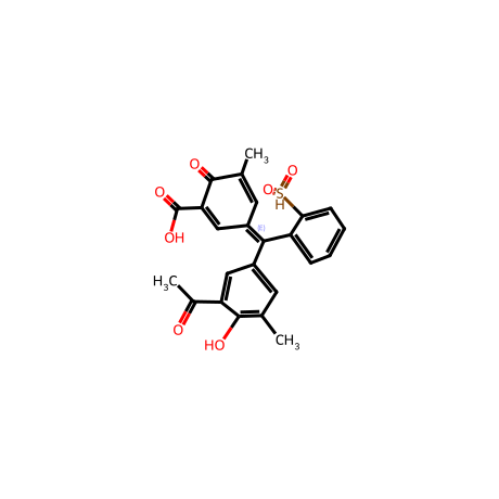 CC(=O)c1cc(/C(=C2/C=C(C)C(=O)C(C(=O)O)=C2)c2ccccc2[SH](=O)=O)cc(C)c1O